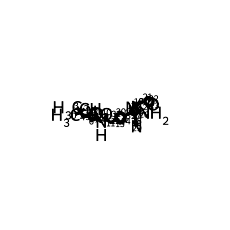 CC(C)(C)Cc1cc(NC(=O)Cc2ccc(-c3nn(CC4CCOC4)c(N)c3C#N)cc2)on1